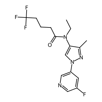 CCN(C(=O)CCCC(F)(F)F)c1cn(-c2cncc(F)c2)nc1C